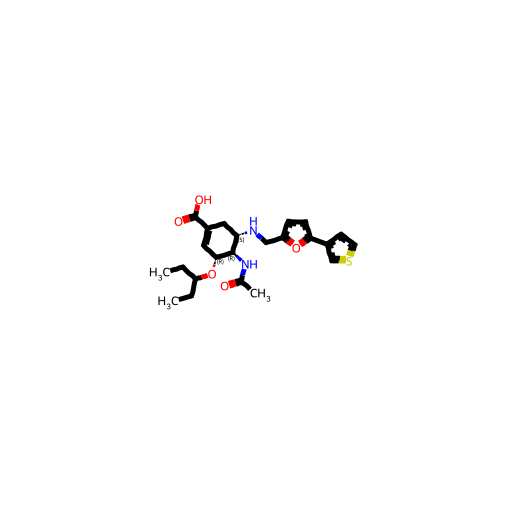 CCC(CC)O[C@@H]1C=C(C(=O)O)C[C@H](NCc2ccc(-c3ccsc3)o2)[C@H]1NC(C)=O